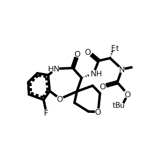 CC[C@@H](C(=O)N[C@H]1C(=O)Nc2cccc(F)c2OC12CCOCC2)N(C)C(=O)OC(C)(C)C